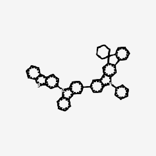 c1ccc(-n2c3ccc(-c4ccc5c(c4)c4ccccc4n5-c4ccc5c(c4)sc4ccccc45)cc3c3cc4c(cc32)-c2ccccc2C42CCCCC2)cc1